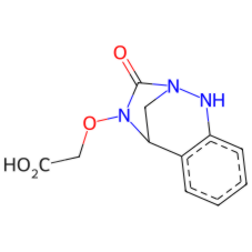 O=C(O)CON1C(=O)N2CC1c1ccccc1N2